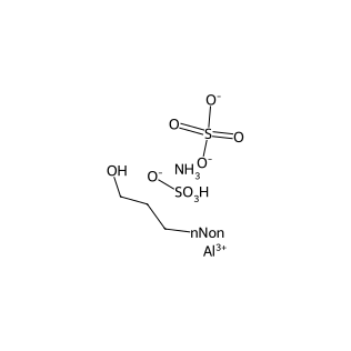 CCCCCCCCCCCCO.N.O=S(=O)([O-])O.O=S(=O)([O-])[O-].[Al+3]